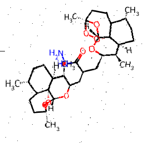 C[C@H]1[C@@H](CC(CC2O[C@@H]3O[C@]4(C)CCC5[C@H](C)CC[C@@H]([C@H]2C)[C@]53OO4)C(=O)NN)O[C@@H]2O[C@]3(C)CCC4[C@H](C)CC[C@@H]1[C@]42OO3